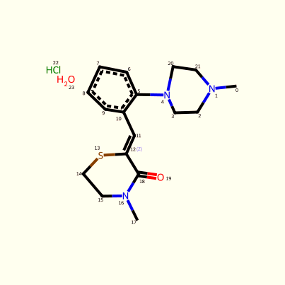 CN1CCN(c2ccccc2/C=C2\SCCN(C)C2=O)CC1.Cl.O